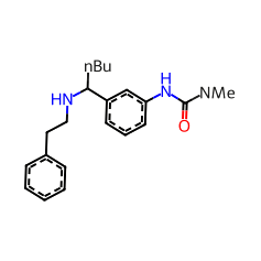 CCCCC(NCCc1ccccc1)c1cccc(NC(=O)NC)c1